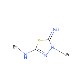 CCNc1nn(C(C)C)c(=N)s1